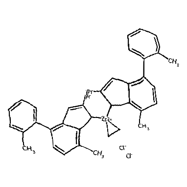 Cc1ccccc1-c1ccc(C)c2c1C=C(C(C)C)[CH]2[Zr+2]1([CH]2C(C(C)C)=Cc3c(-c4ccccc4C)ccc(C)c32)[CH2][CH2]1.[Cl-].[Cl-]